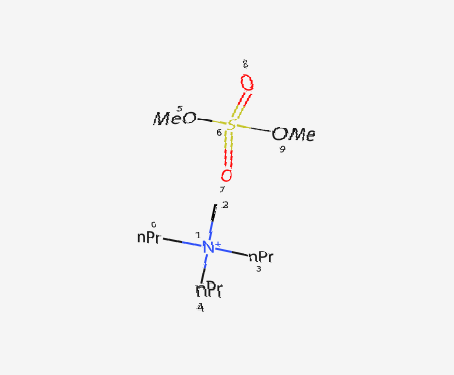 CCC[N+](C)(CCC)CCC.COS(=O)(=O)OC